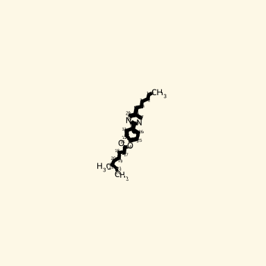 CCCCCCc1cnc(-c2ccc(OC(=O)CCCCC(C)CC)cc2)nc1